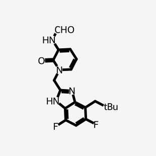 CC(C)(C)Cc1c(F)cc(F)c2[nH]c(Cn3cccc(NC=O)c3=O)nc12